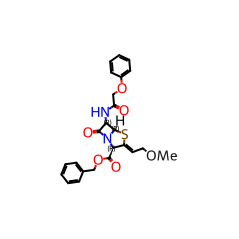 COCC=C1S[C@@H]2[C@H](NC(=O)COc3ccccc3)C(=O)N2[C@@H]1C(=O)OCc1ccccc1